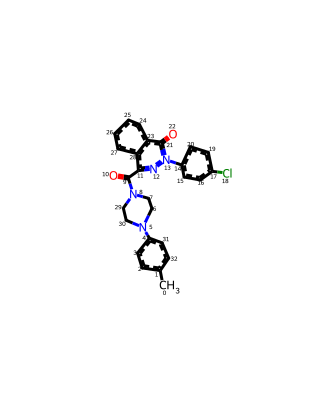 Cc1ccc(N2CCN(C(=O)c3nn(-c4ccc(Cl)cc4)c(=O)c4ccccc34)CC2)cc1